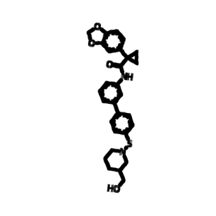 O=C(Nc1cccc(-c2ccc(SN3CCCC(CO)C3)cc2)c1)C1(c2ccc3c(c2)OCO3)CC1